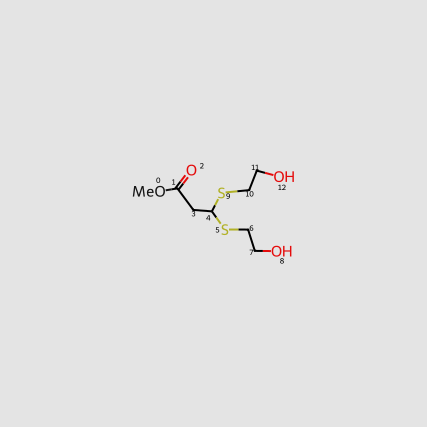 COC(=O)CC(SCCO)SCCO